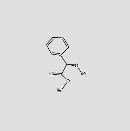 CC(C)OC(=O)[C@H](OC(C)C)c1ccccc1